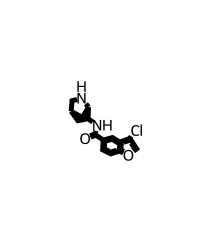 O=C(NC1CC2CNC1C2)c1ccc2occ(Cl)c2c1